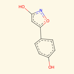 Oc1ccc(-c2cc(O)no2)cc1